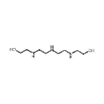 OCCNCCNCCNCCO